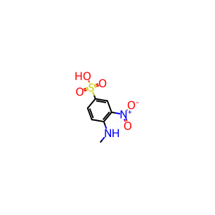 CNc1ccc(S(=O)(=O)O)cc1[N+](=O)[O-]